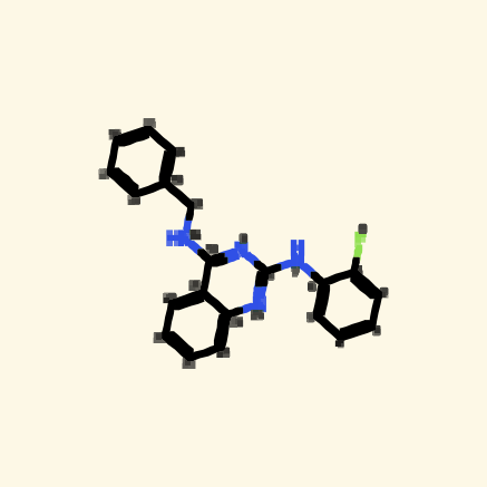 Fc1ccccc1Nc1nc(NCc2ccccc2)c2ccccc2n1